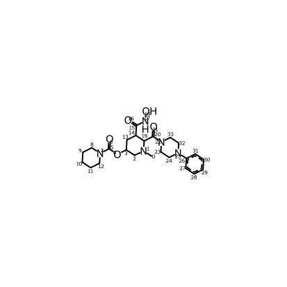 CN1CC(OC(=O)N2CCCCC2)CC(C(=O)NO)C1C(=O)N1CCN(c2ccccc2)CC1